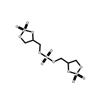 O=S(=O)(OCC1COS(=O)(=O)O1)OCC1COS(=O)(=O)O1